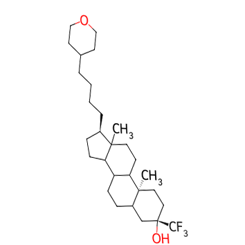 CC12CCC3C(CCC4C[C@](O)(C(F)(F)F)CC[C@@]43C)C1CC[C@H]2CCCCC1CCOCC1